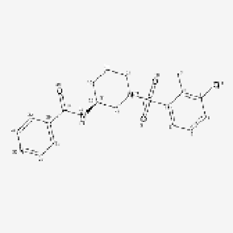 Cc1c(Cl)cccc1S(=O)(=O)N1CCC[C@H](NC(=O)c2ccncc2)C1